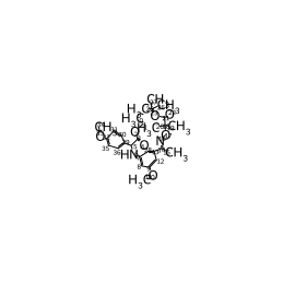 CCOC(=O)C(Nc1cc(OC)cc(C(C)=NOC(C)(C)C(=O)OC(C)(C)C)c1)c1ccc(OC)cc1